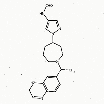 CC(c1ccc2c(c1)PCC=N2)N1CCCC(n2cc(NC=O)cn2)CC1